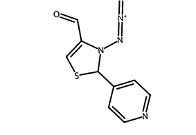 [N-]=[N+]=NN1C(C=O)=CSC1c1ccncc1